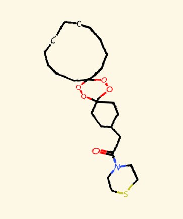 O=C(CC1CCC2(CC1)OOC1(CCCCCCCCCCC1)OO2)N1CCSCC1